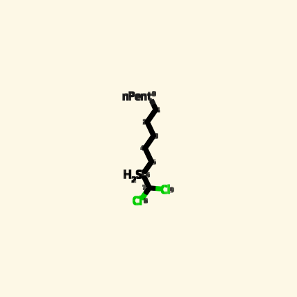 CCCCCCCCCC[SiH2]C(Cl)Cl